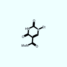 CCn1cc(C(=O)NC)c(=O)[nH]c1=O